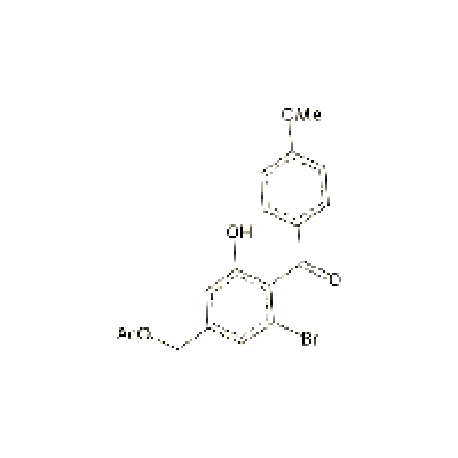 COc1ccc(C(=O)c2c(O)cc(COC(C)=O)cc2Br)cc1